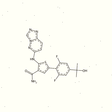 CC(C)(O)c1cc(F)c(-c2cc(C(N)=O)c(Nc3ccc4nncn4n3)s2)c(F)c1